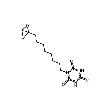 O=c1[nH]c(=O)n(CCCCCCCCC23OC2O3)c(=O)[nH]1